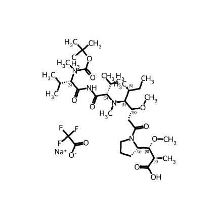 CC[C@H](C)[C@@H]([C@@H](CC(=O)N1CCC[C@H]1[C@H](OC)[C@@H](C)C(=O)O)OC)N(C)[C@H](C(=O)NC(=O)[C@H](C(C)C)N(C)C(=O)OC(C)(C)C)C(C)C.O=C([O-])C(F)(F)F.[Na+]